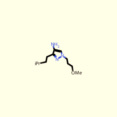 COCCCn1cc(N)c(CCC(C)C)n1